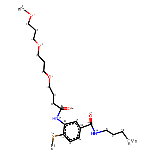 CCCOCCCOCCCOCCCC(=O)Nc1cc(C(=O)NCCCOC)ccc1SCC